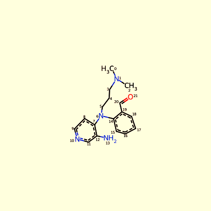 CN(C)CCCN(c1ccncc1N)c1ccccc1C=O